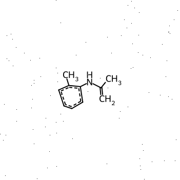 C=C(C)Nc1ccccc1C